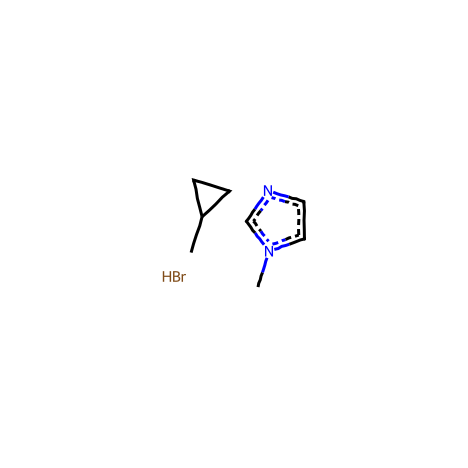 Br.CC1CC1.Cn1ccnc1